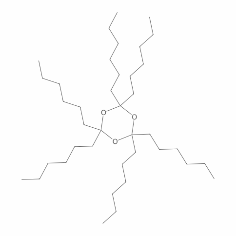 CCCCCCC1(CCCCCC)OC(CCCCCC)(CCCCCC)OC(CCCCCC)(CCCCCC)O1